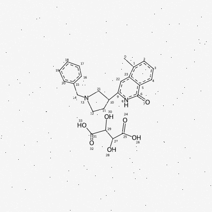 Cc1cccc2c(=O)[nH]c(C3CCN(Cc4ccccc4)C3)cc12.O=C(O)C(O)C(O)C(=O)O